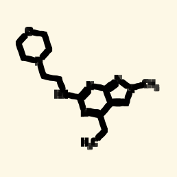 CCc1nc(NCCN2CCOCC2)nc2nn(C)cc12